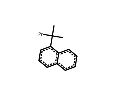 CC(C)C(C)(C)c1cccc2ccccc12